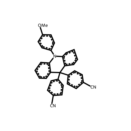 COc1ccc(N2c3ccccc3C(c3ccc(C#N)cc3)(c3ccc(C#N)cc3)c3ccccc32)cc1